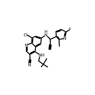 C#CC(Nc1cc(Cl)c2ncc(C#N)c(NCC(C)(C)C)c2c1)c1ccc(F)nc1C